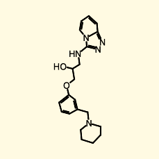 OC(CNc1nnc2ccccn12)COc1cccc(CN2CCCCC2)c1